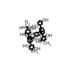 CCCCCCC(C)(c1cc(O)c(C23CC4CC(c5cc(O)ccc5O)(CC(c5cc(O)c(C)cc5O)(C4)C2)C3)cc1O)C12CC3CC(c4cc(O)c(C)cc4O)(CC(c4cc(O)c(C(C)(CC)CCC)cc4O)(C3)C1)C2